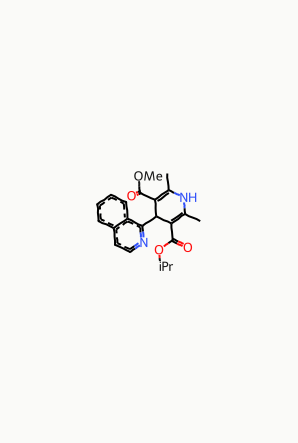 COC(=O)C1=C(C)NC(C)=C(C(=O)OC(C)C)C1c1nccc2ccccc12